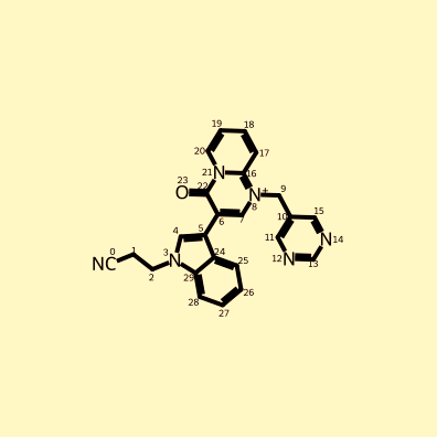 N#CCCn1cc(-c2c[n+](Cc3cncnc3)c3ccccn3c2=O)c2ccccc21